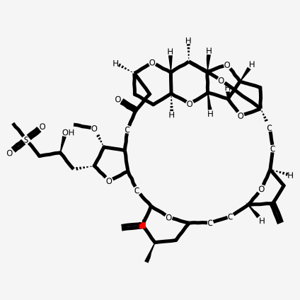 C=C1C[C@@H]2CC[C@@]34C[C@H]5O[C@H]6[C@@H](O3)[C@H]3O[C@H](CC[C@@H]3O[C@H]6[C@H]5O4)CC(=O)CC3C(C[C@H]4OC(CC[C@@H]1O2)C[C@@H](C)C4=C)O[C@H](C[C@H](O)CS(C)(=O)=O)[C@@H]3OC